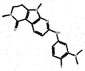 CN1CCc2c(c3ccc(Nc4ccc(F)c(N(C)C)c4)nc3n2C)C1=O